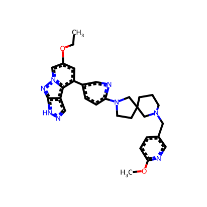 CCOc1cc(-c2ccc(N3CCC4(CCCN(Cc5ccc(OC)nc5)C4)C3)nc2)c2c3cn[nH]c3nn2c1